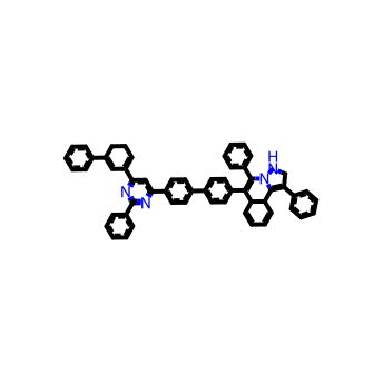 C1=CC2C(c3ccc(-c4ccc(-c5cc(C6=CCCC(c7ccccc7)=C6)nc(-c6ccccc6)n5)cc4)cc3)=C(c3ccccc3)N3NCC(c4ccccc4)=C3C2C=C1